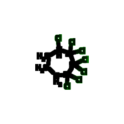 Cl[SiH]1[SiH2][SiH2][SiH2][Si](Cl)(Cl)[Si](Cl)(Cl)[Si]1(Cl)Cl